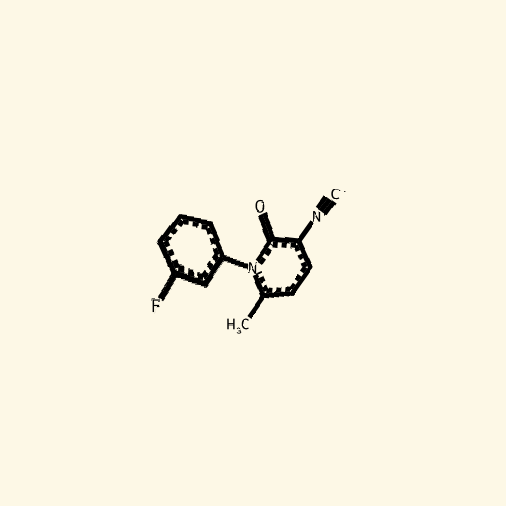 [C-]#[N+]c1ccc(C)n(-c2cccc(F)c2)c1=O